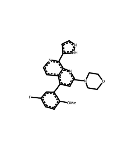 COc1ccc(F)cc1-c1cc(N2CCOCC2)nc2c(-c3ccn[nH]3)nccc12